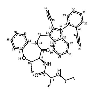 CCNC(C)C(=O)N[C@@H]1C(=O)N(Cc2c(C#N)n(-c3ccccc3C#N)c3ccccc23)c2ccccc2O[C@H]1C